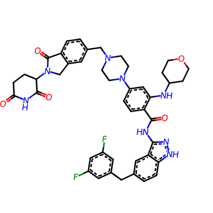 O=C1CCC(N2Cc3cc(CN4CCN(c5ccc(C(=O)Nc6n[nH]c7ccc(Cc8cc(F)cc(F)c8)cc67)c(NC6CCOCC6)c5)CC4)ccc3C2=O)C(=O)N1